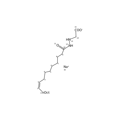 CCCCCCCC/C=C\CCCCCCCC(=O)NNCC(=O)[O-].[Na+]